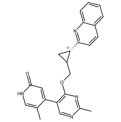 Cc1ncc(-c2cc(=O)[nH]cc2C)c(OCC2C[C@@H]2c2ccc3ccccc3n2)n1